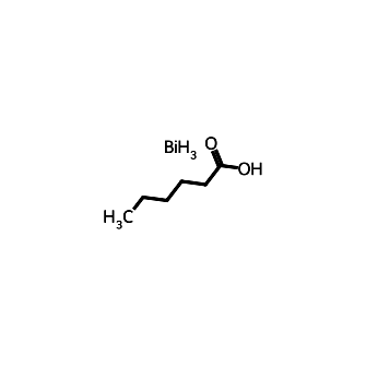 CCCCCC(=O)O.[BiH3]